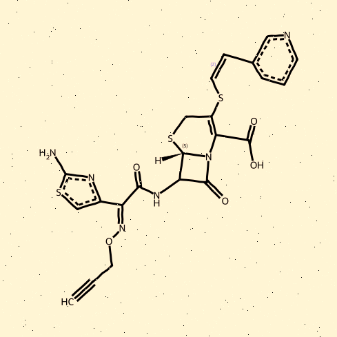 C#CCON=C(C(=O)NC1C(=O)N2C(C(=O)O)=C(S/C=C\c3cccnc3)CS[C@@H]12)c1csc(N)n1